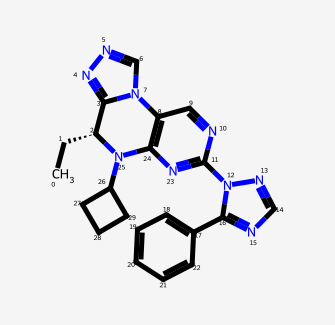 CC[C@@H]1c2nncn2-c2cnc(-n3ncnc3-c3ccccc3)nc2N1C1CCC1